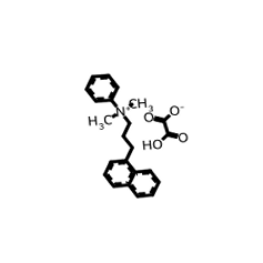 C[N+](C)(CCCc1cccc2ccccc12)c1ccccc1.O=C([O-])C(=O)O